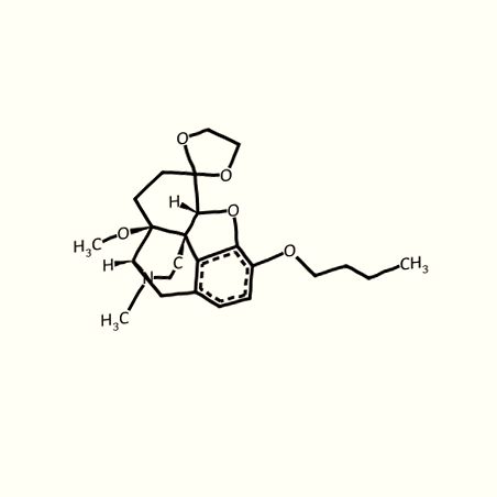 CCCCOc1ccc2c3c1O[C@H]1C4(CC[C@@]5(OC)[C@@H](C2)N(C)CC[C@]315)OCCO4